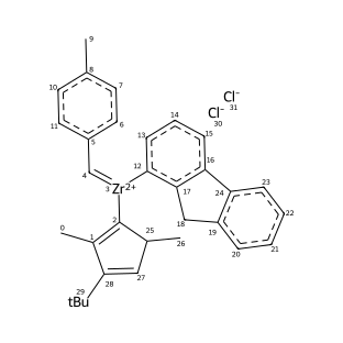 CC1=[C](/[Zr+2](=[CH]/c2ccc(C)cc2)[c]2cccc3c2Cc2ccccc2-3)C(C)C=C1C(C)(C)C.[Cl-].[Cl-]